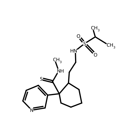 CNC(=S)C1(c2cccnc2)CCCCC1CCNS(=O)(=O)C(C)C